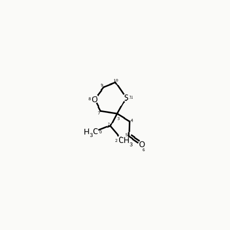 CC(C)C1(CC=O)COCCS1